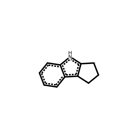 [CH]1CCc2c1[nH]c1ccccc21